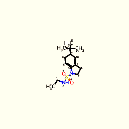 CCNS(=O)(=O)N1CCC2=CC(C(C)(C)C)CC=C21